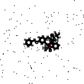 CNS(=O)(=O)c1ccccc1[C@]1(N[S+]([O-])C(C)(C)C)[C@@H]2CC[C@H]1Cc1ccc(OCc3ccccc3)cc1C2